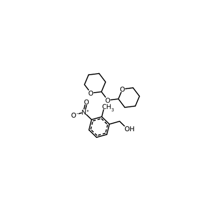 C1CCC(OC2CCCCO2)OC1.Cc1c(CO)cccc1[N+](=O)[O-]